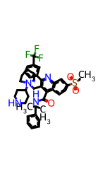 CCS(=O)(=O)c1ccc2c(C(=O)NC(C)(C)c3ccccc3)c(C[N+]3(C4CCNCC4)CCCCC3)c(-c3cccc(C(F)(F)F)c3)nc2c1